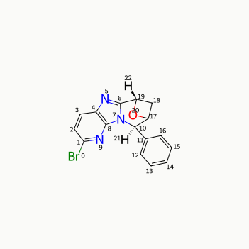 Brc1ccc2nc3n(c2n1)[C@H](c1ccccc1)C1C[C@@H]3O1